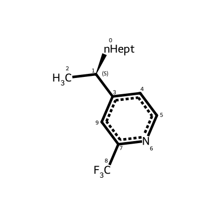 CCCCCCC[C@H](C)c1ccnc(C(F)(F)F)c1